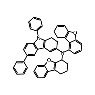 C1=Cc2oc3cccc(N(C4=Cc5c(n(-c6ccccc6)c6ccc(-c7ccccc7)cc56)CC4)C4CCCc5c4oc4ccccc54)c3c2CC1